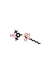 CCCCCCCCOC(=O)C(O)SCc1cc(C(C)(C)C)c(O)c(C(C)(C)C)c1